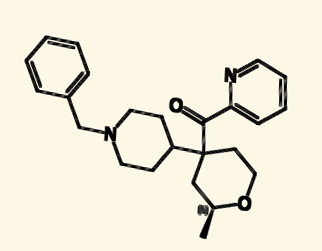 C[C@H]1CC(C(=O)c2ccccn2)(C2CCN(Cc3ccccc3)CC2)CCO1